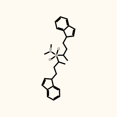 C[CH](CCC1C=Cc2ccccc21)[Zr]([Cl])([Cl])([CH](C)CCC1C=Cc2ccccc21)[SiH](C)C